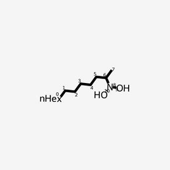 CCCCCCCCCCCC(C)N(O)O